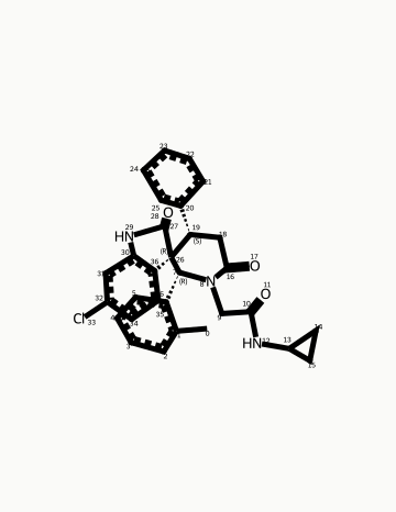 Cc1ccccc1[C@H]1N(CC(=O)NC2CC2)C(=O)C[C@@H](c2ccccc2)[C@]12C(=O)Nc1cc(Cl)ccc12